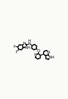 Fc1cc2nc(Nc3ccc(Oc4ncccc4-c4ccnc5[nH]ccc45)cc3)[nH]c2cc1F